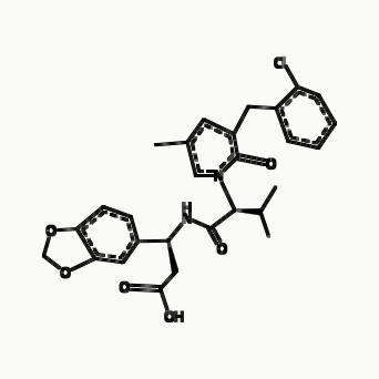 Cc1cc(Cc2ccccc2Cl)c(=O)n([C@H](C(=O)N[C@@H](CC(=O)O)c2ccc3c(c2)OCO3)C(C)C)c1